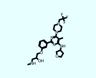 CNCC(O)COc1cccc(-c2nc(NC3CCOC3)c(C)c(N3CCN(CC(F)(F)F)CC3)n2)c1